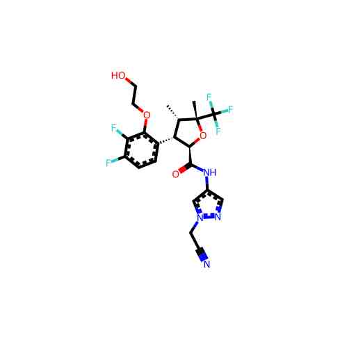 C[C@H]1[C@@H](c2ccc(F)c(F)c2OCCO)[C@H](C(=O)Nc2cnn(CC#N)c2)O[C@@]1(C)C(F)(F)F